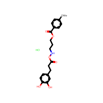 COc1ccc(C(=O)OCCCNOC(=O)CCc2ccc(O)c(O)c2)cc1.Cl